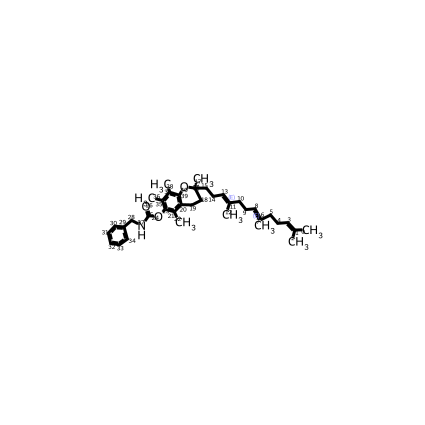 CC(C)=CCC/C(C)=C/CC/C(C)=C/CC[C@]1(C)CCc2c(C)c(OC(=O)NCc3ccccc3)c(C)c(C)c2O1